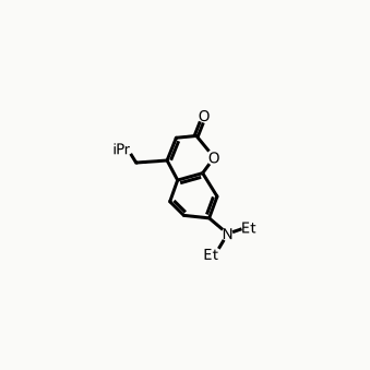 CCN(CC)c1ccc2c(CC(C)C)cc(=O)oc2c1